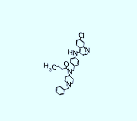 CCCC(=O)N(Cc1ccc(Nc2ccnc3cc(Cl)ccc23)cc1)C1CCN(Cc2ccccc2)CC1